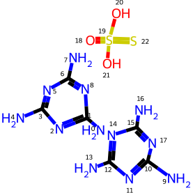 Nc1nc(N)nc(N)n1.Nc1nc(N)nc(N)n1.O=S(O)(O)=S